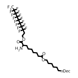 CCCCCCCCCCCCCCCCOC(=O)CCCCCCC(N)C(=O)OCCC(F)(F)C(F)(F)C(F)(F)C(F)(F)C(F)(F)C(F)(F)C(F)(F)C(F)(F)F